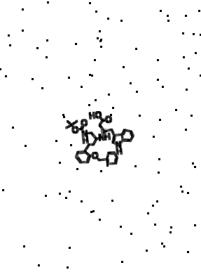 CC(C)(C)OC(=O)NCC(CCc1ccccc1OCc1ccccc1)N[C@@H](CC(=O)O)Cc1c[nH]c2ccccc12